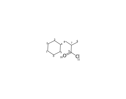 C1CCCCC1.CC(C)C(=O)Cl